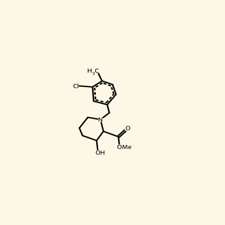 COC(=O)C1C(O)CCCN1Cc1ccc(C)c(Cl)c1